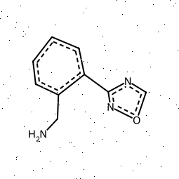 NCc1ccccc1-c1n[c]on1